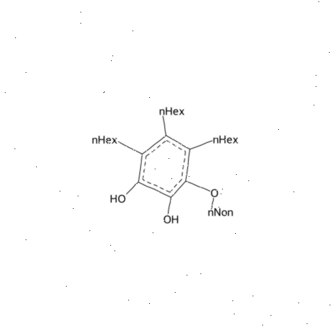 CCCCCCCCCOc1c(O)c(O)c(CCCCCC)c(CCCCCC)c1CCCCCC